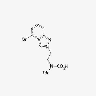 CC(C)(C)N(CCn1nc2cccc(Br)c2n1)C(=O)O